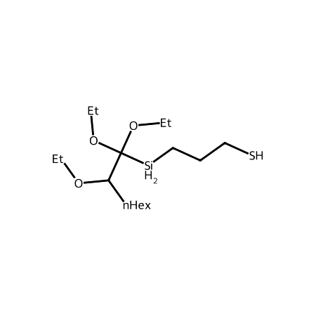 CCCCCCC(OCC)C(OCC)(OCC)[SiH2]CCCS